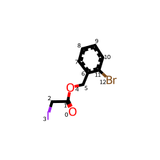 O=C(CI)OCc1ccccc1Br